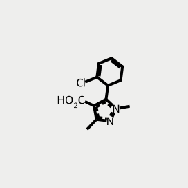 Cc1nn(C)c(C2CC=CC=C2Cl)c1C(=O)O